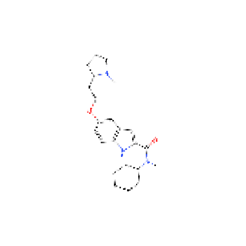 CN1CCCC1CCOc1ccc2[nH]c(C(=O)N(C)C3CCCCC3)cc2c1